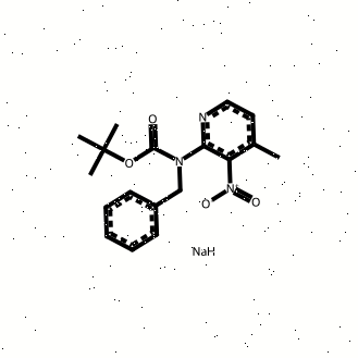 Cc1ccnc(N(Cc2ccccc2)C(=O)OC(C)(C)C)c1[N+](=O)[O-].[NaH]